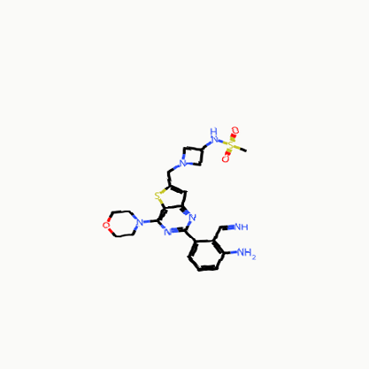 CS(=O)(=O)NC1CN(Cc2cc3nc(-c4cccc(N)c4C=N)nc(N4CCOCC4)c3s2)C1